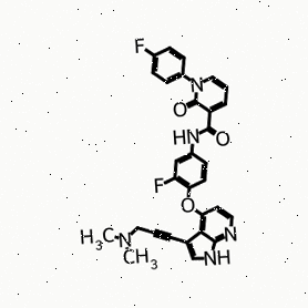 CN(C)CC#Cc1c[nH]c2nccc(Oc3ccc(NC(=O)c4cccn(-c5ccc(F)cc5)c4=O)cc3F)c12